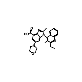 CCc1nc2ccccc2c(-n2c(C)nc3c(C(=O)O)cc(N4CCOCC4)cc32)c1C